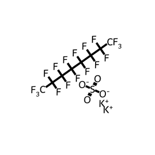 FC(F)(F)C(F)(F)C(F)(F)C(F)(F)C(F)(F)C(F)(F)C(F)(F)C(F)(F)F.O=S(=O)([O-])[O-].[K+].[K+]